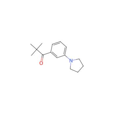 CC(C)(C)C(=O)c1cccc(N2CCCC2)c1